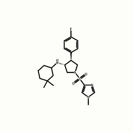 Cn1cnc(S(=O)(=O)N2C[C@H](NC3CCCC(C)(C)C3)[C@@H](c3ccc(F)cc3)C2)c1